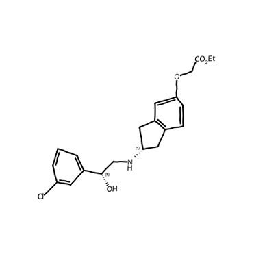 CCOC(=O)COc1ccc2c(c1)C[C@@H](NC[C@H](O)c1cccc(Cl)c1)C2